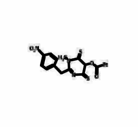 CCC(=O)OC1C(=S)N=C(Cc2ccc([N+](=O)[O-])cc2)N(C)C1=S